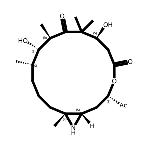 CC(=O)[C@@H]1C[C@@H]2N[C@]2(C)CCC[C@H](C)[C@H](O)[C@@H](C)C(=O)C(C)(C)[C@@H](O)CC(=O)O1